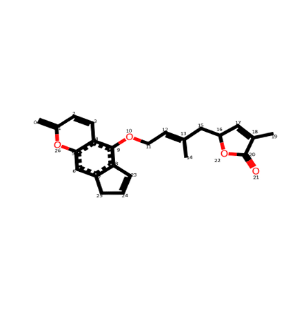 C=C1C=Cc2c(cc3c(c2OC/C=C(\C)CC2C=C(C)C(=O)O2)C=CC3)O1